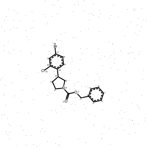 O=C(OCc1ccccc1)N1CCC(c2ccc(Br)cc2Cl)C1